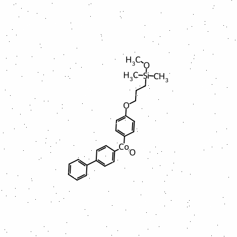 CO[Si](C)(C)CCCOc1cc[c]([Co](=[O])[c]2ccc(-c3ccccc3)cc2)cc1